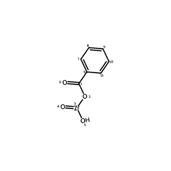 O=C([O][Zr](=[O])[OH])c1ccccc1